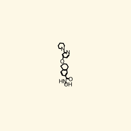 O=C(NO)c1ccc2c(c1)CCC(Oc1ccnc(N3CCCCC3)c1)C2